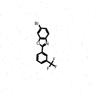 FC(F)(F)c1cccc(-c2nc3ccc(Br)cc3o2)c1